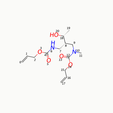 C=CCOC(=O)NC[C@@H](CN(C)C(=O)OCC=C)[C@@H](C)O